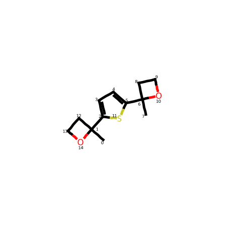 CC1(c2ccc(C3(C)CCO3)s2)CCO1